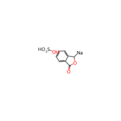 O=C1O[CH]([Na])c2ccccc21.O=S(=O)(O)O